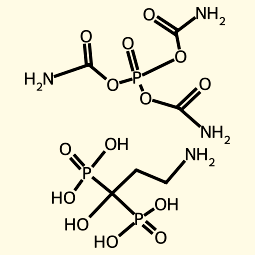 NC(=O)OP(=O)(OC(N)=O)OC(N)=O.NCCC(O)(P(=O)(O)O)P(=O)(O)O